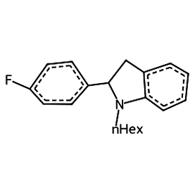 CCCCCCN1c2ccccc2CC1c1ccc(F)cc1